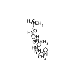 Cc1ccc(Nc2ncc(C)c(-c3c[nH]c4ccccc34)n2)cc1NC(=O)c1ccc(NC(=O)CCCN(C)C)cc1